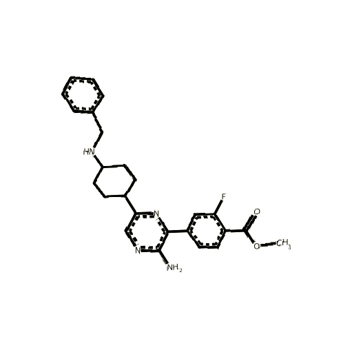 COC(=O)c1ccc(-c2nc(C3CCC(NCc4ccccc4)CC3)cnc2N)cc1F